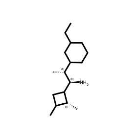 CCC1CCCC([C@@H](C)[C@@H](N)C2CC(C)[C@H]2C)C1